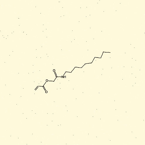 C=CC(=O)OCC(=O)NCCCCCCCCCC